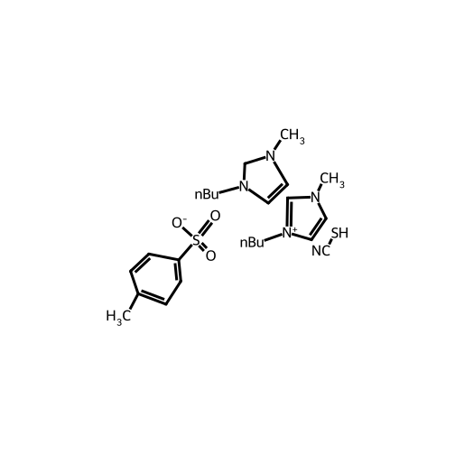 CCCCN1C=CN(C)C1.CCCC[n+]1ccn(C)c1.Cc1ccc(S(=O)(=O)[O-])cc1.N#CS